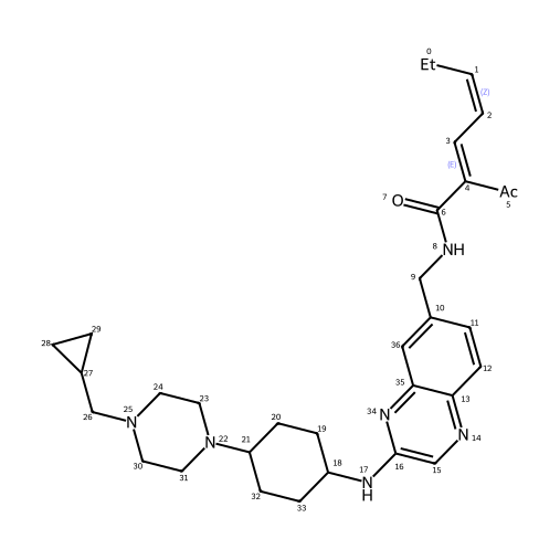 CC/C=C\C=C(/C(C)=O)C(=O)NCc1ccc2ncc(NC3CCC(N4CCN(CC5CC5)CC4)CC3)nc2c1